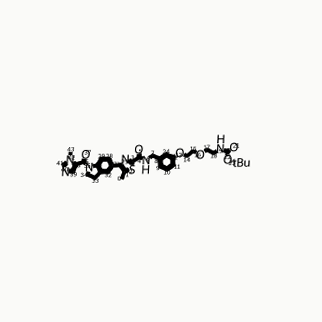 Cc1sc(C(=O)NCc2cccc(OCCOCCNC(=O)OC(C)(C)C)c2)nc1-c1ccc2c(c1)CCN2C(=O)c1cncn1C